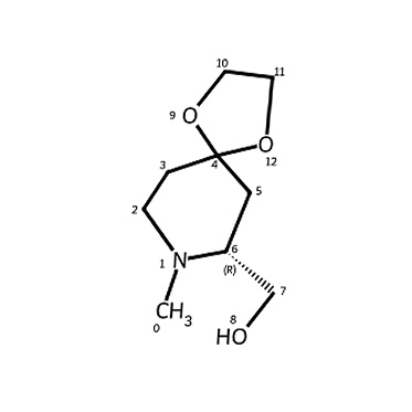 CN1CCC2(C[C@@H]1CO)OCCO2